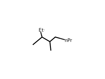 C[CH]C(C)C(C)CCCC